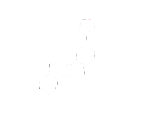 Clc1occc1C1CCc2ccc3c(ccc4ccccc43)c2C1